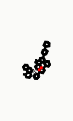 CC1CC=Cc2c(N(c3ccc4c(c3)C(C)(C)c3cc(-c5ccc(-c6ccccc6)cc5)ccc3-4)c3ccccc3-c3ccc(-c4ccccc4)cc3)cc3ccccc3c21